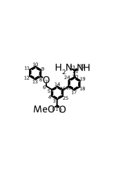 COC(=O)c1cc(COc2ccccc2)cc(-c2cccc(C(=N)N)c2)c1